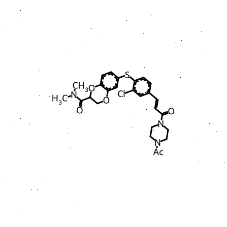 CC(=O)N1CCN(C(=O)C=Cc2ccc(Sc3ccc4c(c3)OCC(C(=O)N(C)C)O4)c(Cl)c2)CC1